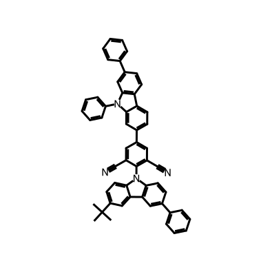 CC(C)(C)c1ccc2c(c1)c1cc(-c3ccccc3)ccc1n2-c1c(C#N)cc(-c2ccc3c4ccc(-c5ccccc5)cc4n(-c4ccccc4)c3c2)cc1C#N